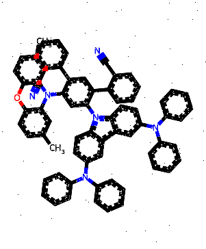 Cc1ccc2c(c1)N(c1cc(-n3c4ccc(N(c5ccccc5)c5ccccc5)cc4c4cc(N(c5ccccc5)c5ccccc5)ccc43)c(-c3ccccc3C#N)cc1-c1ccccc1C#N)c1cc(C)ccc1O2